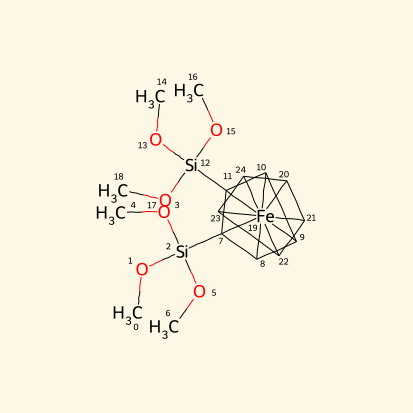 CO[Si](OC)(OC)[C]12[CH]3[CH]4[CH]5[C]1([Si](OC)(OC)OC)[Fe]43521678[CH]2[CH]1[CH]6[CH]7[CH]28